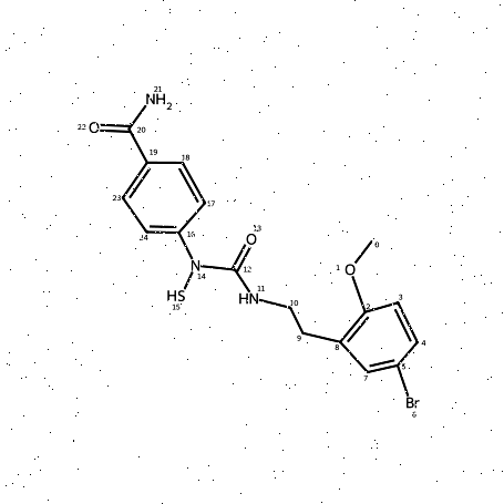 COc1ccc(Br)cc1CCNC(=O)N(S)c1ccc(C(N)=O)cc1